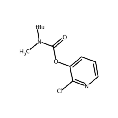 CN(C(=O)Oc1cccnc1Cl)C(C)(C)C